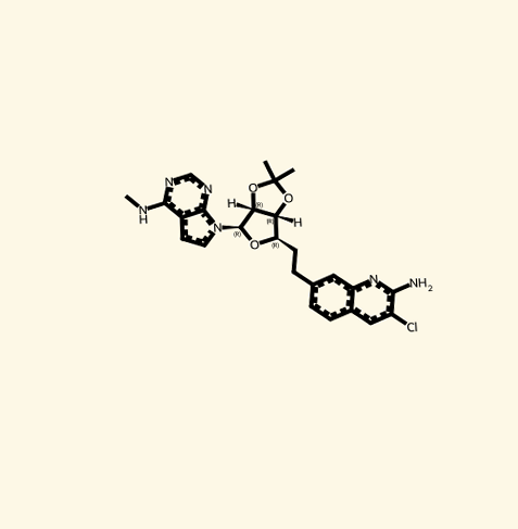 CNc1ncnc2c1ccn2[C@@H]1O[C@H](CCc2ccc3cc(Cl)c(N)nc3c2)[C@H]2OC(C)(C)O[C@H]21